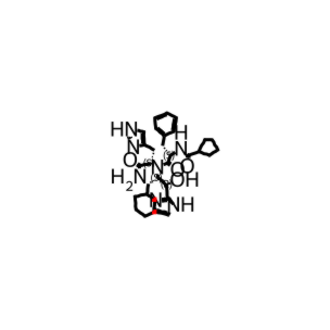 NC(=O)[C@H](Cc1c[nH]cn1)N(C(=O)[C@H](Cc1ccccc1)NC(=O)C1CCCC1)[C@@H](CC1CCCCC1)[C@@H](O)c1ncc[nH]1